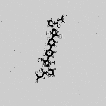 CC(C)CC(=O)N1CCC[C@H]1c1nc(Cl)c(-c2ccc(-c3ccc(-c4[nH]c([C@@H]5CCCN5C(=O)CC(C)C)nc4Cl)cc3)cc2)[nH]1